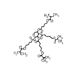 C=C(C)C(=O)OCCCCC(=O)OC1OC[C@@H](OC(=O)CCCCOC(=O)C(=C)CC)[C@H](OC(=O)CCCCOC(=O)C(=C)C)[C@H]1OC(=O)CCCCOC(=O)C(=C)C